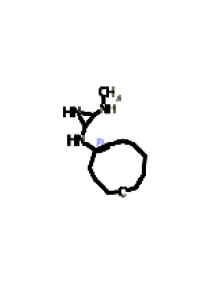 CNC1NC1N/C1=C/CCCCCCCCC1